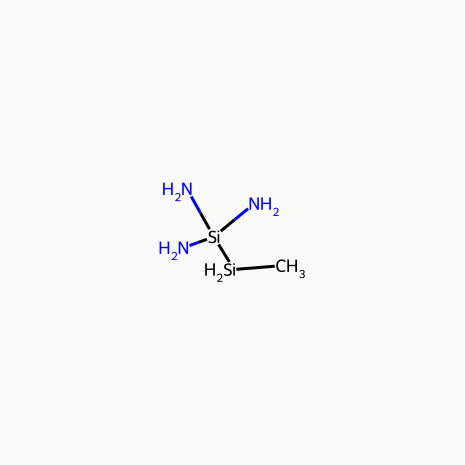 C[SiH2][Si](N)(N)N